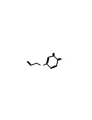 C=CCSC1=CC(=N)C(=N)C=C1